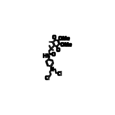 COC1=C(OC)C(=O)C(C(C)(C)CC(=O)Nc2ccc(N(CCCl)CCCl)cc2)=C(C)C1=O